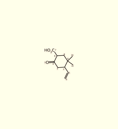 C=CC1CC(=O)C(C(=O)O)CC1(C)C